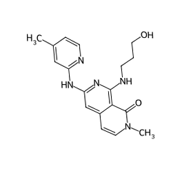 Cc1ccnc(Nc2cc3ccn(C)c(=O)c3c(NCCCO)n2)c1